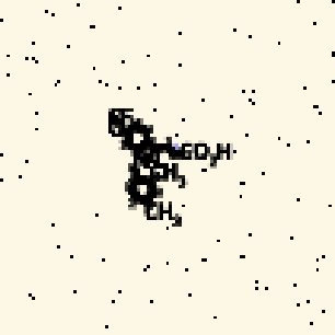 Cc1ccc(Cn2nc(/C=C/C(=O)O)c3ccc(OC(F)(F)F)cc32)c(C)c1